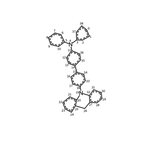 c1ccc(N(c2ccccc2)c2ccc(-c3ccc(N4c5ccccc5Cc5ccccc54)cc3)cc2)cc1